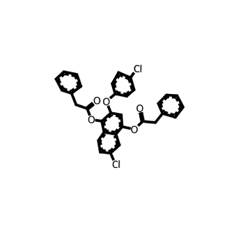 O=C(Cc1ccccc1)Oc1cc(Oc2ccc(Cl)cc2)c(OC(=O)Cc2ccccc2)c2ccc(Cl)cc12